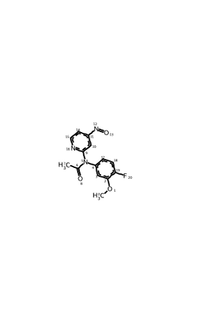 COc1cc(N(C(C)=O)c2cc(N=O)ccn2)ccc1F